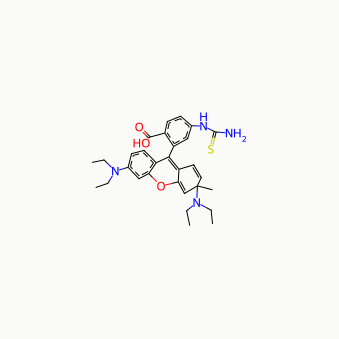 CCN(CC)c1ccc2c(c1)OC1=CC(C)(N(CC)CC)C=CC1=C2c1cc(NC(N)=S)ccc1C(=O)O